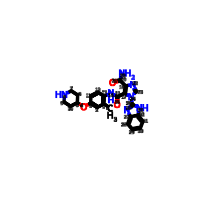 Cc1cc(OC2CCNCC2)ccc1NC(=O)c1c(C(N)=O)ncn1-c1nc2ccccc2[nH]1